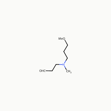 COCCCN(C)CCC=O